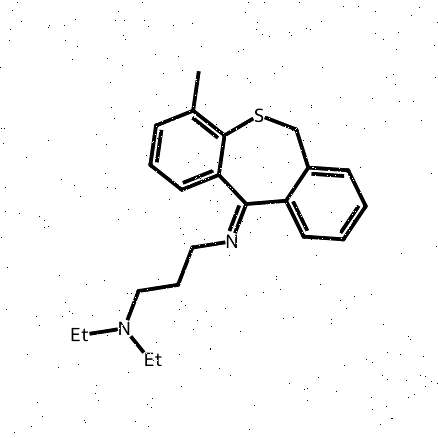 CCN(CC)CCC/N=C1/c2ccccc2CSc2c(C)cccc21